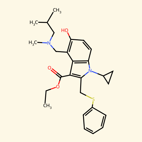 CCOC(=O)c1c(CSc2ccccc2)n(C2CC2)c2ccc(O)c(CN(C)CC(C)C)c12